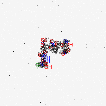 CCOC(=O)C1=NOC(c2ccccc2)(c2ccccc2)C1.CCc1cc(C)cc(CC)c1-c1c(OC(=O)C(C)(C)C)n2n(c1=O)CCOCC2.COc1cc(OC)nc(NC(=O)NS(=O)(=O)c2nc(C(F)(F)F)ccc2C(=O)O)n1.Cc1c(C(=O)c2cnn(C)c2O)ccc(S(C)(=O)=O)c1C1=NOCC1